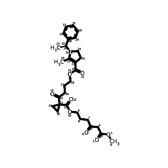 COC(=O)CC(=O)CCCOC(=O)C1(C(=O)CCCOC(=O)C2=C(C)N([C@@H](C)c3ccccc3)CC2)CC1